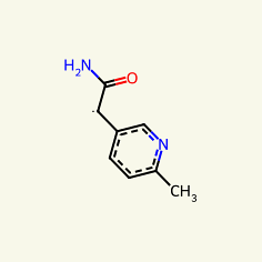 Cc1ccc([CH]C(N)=O)cn1